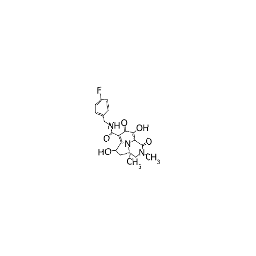 CN1CC2(C)CC(O)c3c(C(=O)NCc4ccc(F)cc4)c(=O)c(O)c(n32)C1=O